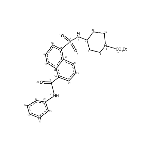 CCOC(=O)N1CCC(NS(=O)(=O)c2cccc3c(C(=O)Nc4cccnc4)cccc23)CC1